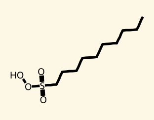 CCCCCCCCCCS(=O)(=O)OO